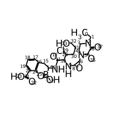 CCN1CCN(C2OC2NC(C(=O)N[C@H]2Cc3cccc(C(=O)O)c3OB2O)C(Cl)CCCO)C(=O)C1=O